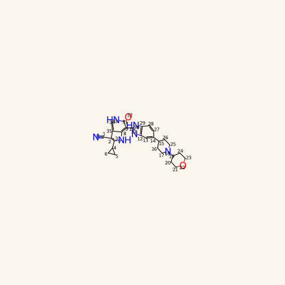 N#Cc1c(C2CC2)[nH]c2c(-c3nc4cc(C5CCN(C6CCOCC6)CC5)ccc4[nH]3)c(=O)[nH]cc12